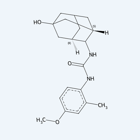 COc1ccc(NC(=O)NC2[C@@H]3CC4C[C@H]2CC(O)(C4)C3)c(C)c1